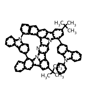 CC(C)(C)c1cc(-c2ccc3c(c2)c2ccccc2n3-c2ccccc2)c2c(c1)c1cc3ccccc3c3c4nc5c(cc4n2c13)c1cc(C(C)(C)C)cc2c3cc4ccccc4c(-c4ccc6c(c4)c4ccccc4n6-c4ccccc4)c3n5c12